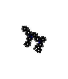 CC1(C)c2ccccc2-c2ccc(-n3c4ccccc4c4cc(-c5cccc(N(c6ccc(-c7ccccc7)cc6)c6ccc(-c7ccccc7)cc6)c5)ccc43)cc21